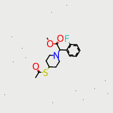 COC(=O)C(c1ccccc1F)N1CCC(SC(C)=O)CC1